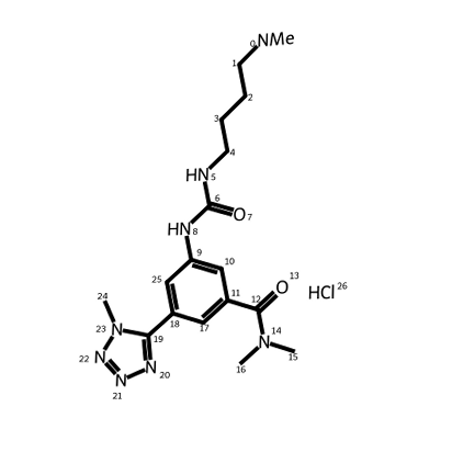 CNCCCCNC(=O)Nc1cc(C(=O)N(C)C)cc(-c2nnnn2C)c1.Cl